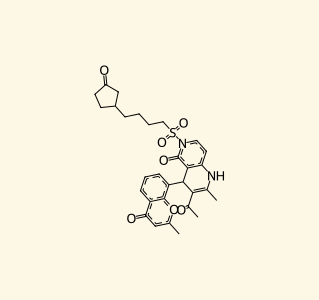 CC(=O)C1=C(C)Nc2ccn(S(=O)(=O)CCCCC3CCC(=O)C3)c(=O)c2C1c1cccc2c(=O)cc(C)oc12